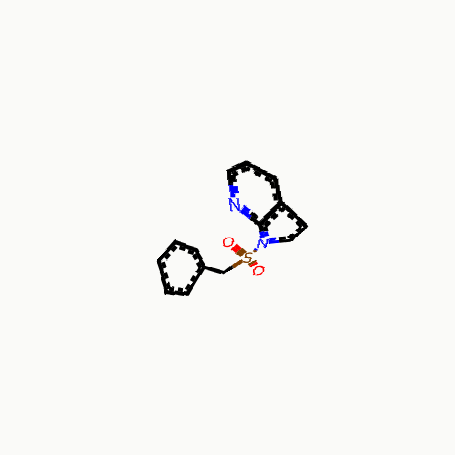 O=S(=O)(Cc1ccccc1)n1ccc2cccnc21